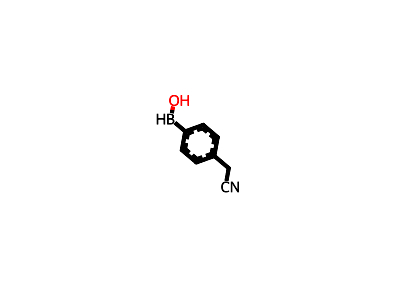 N#CCc1ccc(BO)cc1